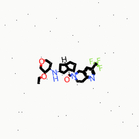 CCO[C@H]1COCC[C@@H]1N[C@@H]1C[C@H]2CCC[C@@]2(C(=O)N2CCc3ncc(C(F)(F)F)cc3C2)C1